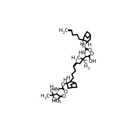 C=CCCC[C@@H]1C2CC(C2)C[C@H]1OC(=O)N[C@H](C(=O)O)C(C)(C)C/C=C\CCC[C@H]1C2CC(C2)C[C@@H]1OC(=O)N[C@H](C(=O)O)C(C)(C)C